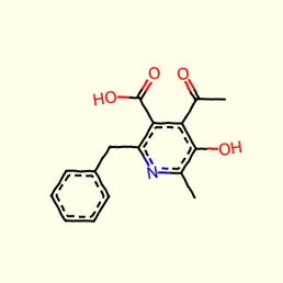 CC(=O)c1c(O)c(C)nc(Cc2ccccc2)c1C(=O)O